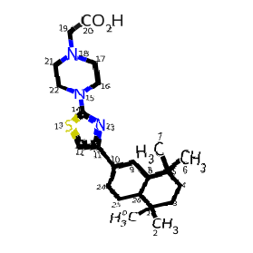 CC1(C)CCC(C)(C)C2CC(c3csc(N4CCN(CC(=O)O)CC4)n3)CCC21